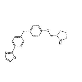 c1coc(-c2ccc(Cc3ccc(OC[C@H]4CCCN4)cc3)cc2)n1